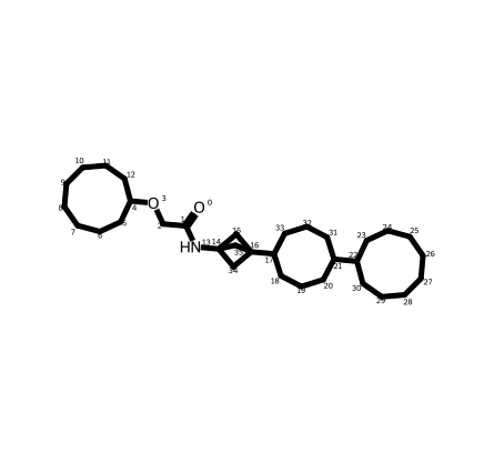 O=C(COC1CCCCCCCC1)NC12CC(C3CCCC(C4CCCCCCCC4)CCC3)(C1)C2